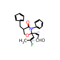 C/C(F)=C\C1(/C=C\C=O)OCC(Cc2ccccc2)C(=O)N1c1ccccc1